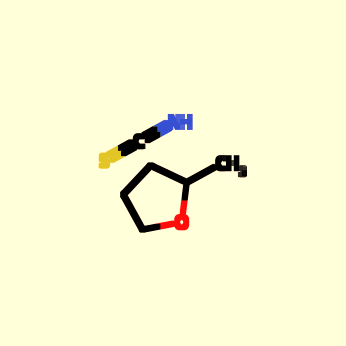 CC1CCCO1.N=C=S